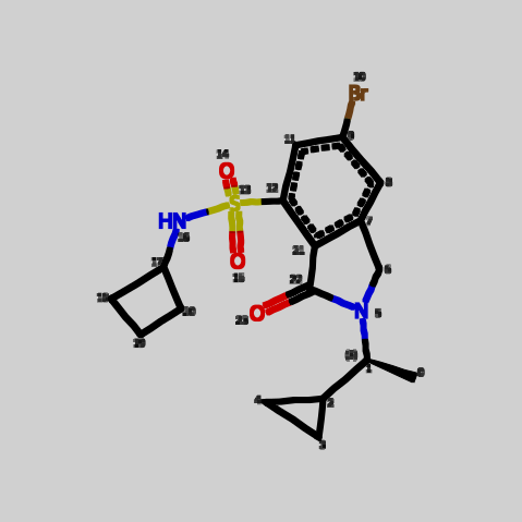 C[C@@H](C1CC1)N1Cc2cc(Br)cc(S(=O)(=O)NC3CCC3)c2C1=O